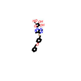 OC[C@H]1O[C@@H](n2ncc3c(SCc4ccc(OCc5ccccc5)cc4)ncnc32)[C@H](O)[C@@H]1O